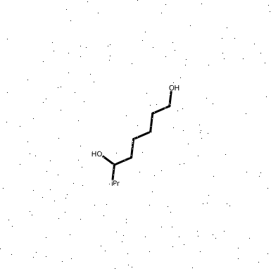 CC(C)C(O)CCCCCO